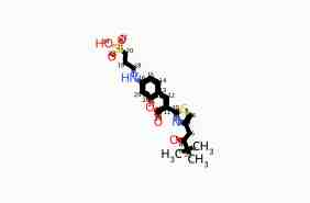 CC(C)(C)C(=O)Cc1csc(-c2cc3ccc(NCCCS(=O)(=O)O)cc3oc2=O)n1